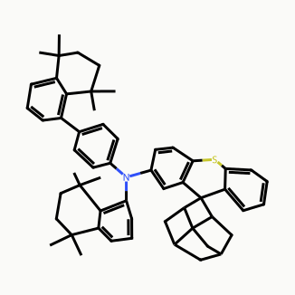 CC1(C)CCC(C)(C)c2c(-c3ccc(N(c4ccc5c(c4)C4(c6ccccc6S5)C5CC6CC7CC4C75C6)c4cccc5c4C(C)(C)CCC5(C)C)cc3)cccc21